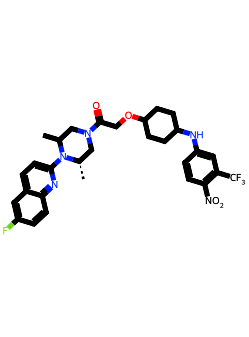 CC1CN(C(=O)COC2CCC(Nc3ccc([N+](=O)[O-])c(C(F)(F)F)c3)CC2)C[C@H](C)N1c1ccc2cc(F)ccc2n1